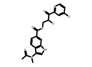 CC(=O)N(C)c1c[nH]c2cc(C(=O)OCC(Cl)C(=O)c3cc(Cl)ccn3)ccc12